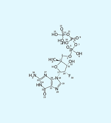 C[C@]1(COP(=O)(O)OP(=O)(O)OP(=O)(O)O)O[C@@H](n2cnc3c(=O)[nH]c(N)nc32)[C@@H](F)[C@H]1O